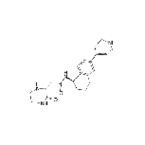 O=C(CC1NCCNC1=O)N[C@@H]1CCCc2cc(C3=CCNCC3)ccc21